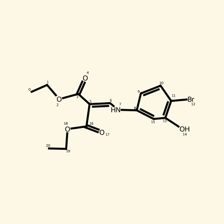 CCOC(=O)C(=CNc1ccc(Br)c(O)c1)C(=O)OCC